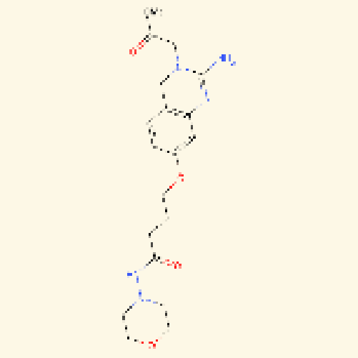 COC(=O)CN1Cc2ccc(OCCCC(=O)NN3CCOCC3)cc2N=C1N